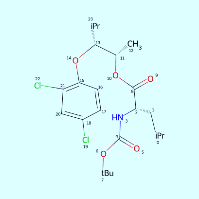 CC(C)C[C@H](NC(=O)OC(C)(C)C)C(=O)O[C@@H](C)[C@H](Oc1ccc(Cl)cc1Cl)C(C)C